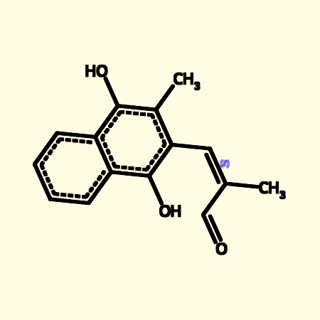 C/C(C=O)=C/c1c(C)c(O)c2ccccc2c1O